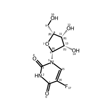 O=c1[nH]c(=O)n([C@@H]2O[C@H](CO)[C@H](O)[C@@H]2O)cc1F